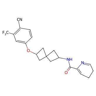 N#Cc1ccc(OC2CC3(CC(NC(=O)C4=CCCC=N4)C3)C2)cc1C(F)(F)F